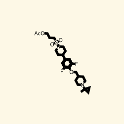 CC(=O)OCCCS(=O)(=O)N1CCC(c2cc(F)c(OCC3CCN(C4(C)CC4)CC3)c(F)c2)CC1